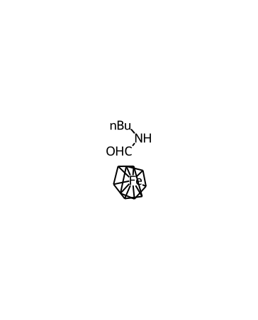 CCCCNC=O.[CH]12[CH]3[CH]4[CH]5[CH]1[Fe]23451678[CH]2[CH]1[CH]6[CH]7[CH]28